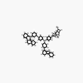 c1cc(-c2ccc(N(c3ccc(-c4cccc5c4oc4ccccc45)cc3)c3ccc(C45CC6C7C(C[C@H]6C4)C[C@H]7C5)cc3)cc2)cc(-n2c3ccccc3c3ccc4ccccc4c32)c1